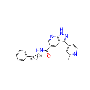 Cc1cc(-c2n[nH]c3ncc(C(=O)N[C@@H]4C[C@H]4c4ccccc4)cc23)ccn1